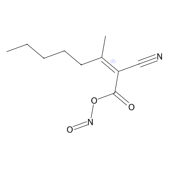 CCCCC/C(C)=C(/C#N)C(=O)ON=O